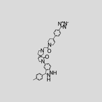 Cc1ccc(C2NNc3ccc(N4CC[C@]5(CCN(CC(=O)N6CC=C(c7ccc(-c8ncn(C)n8)cc7)CC6)C5)C4=O)cc32)cc1